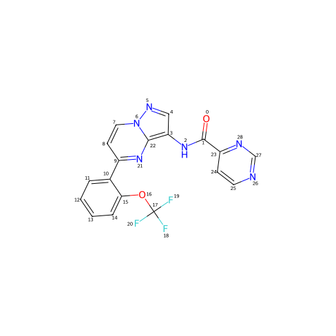 O=C(Nc1cnn2ccc(-c3ccccc3OC(F)(F)F)nc12)c1ccncn1